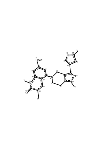 COc1cc(N2CCc3c(c(-c4cnn(C)c4)nn3C)C2)c2cc(C)c(=O)n(C)c2c1